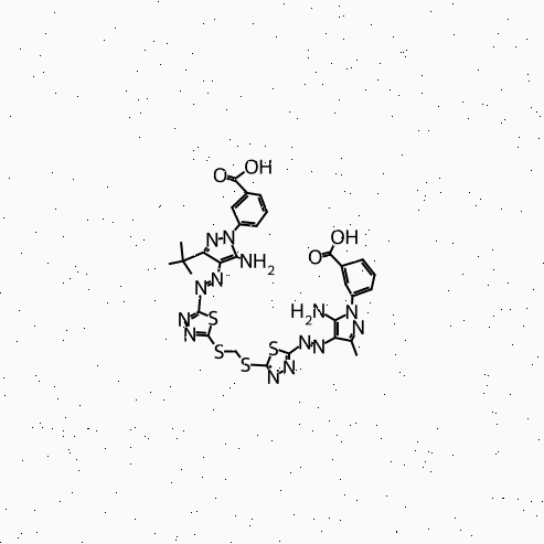 Cc1nn(-c2cccc(C(=O)O)c2)c(N)c1N=Nc1nnc(SCSc2nnc(N=Nc3c(C(C)(C)C)nn(-c4cccc(C(=O)O)c4)c3N)s2)s1